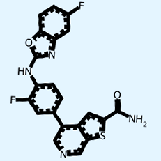 NC(=O)c1cc2c(-c3ccc(Nc4nc5cc(F)ccc5o4)c(F)c3)cncc2s1